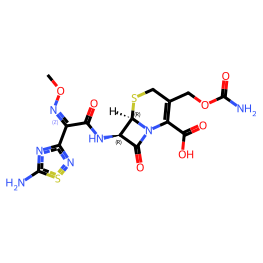 CO/N=C(\C(=O)N[C@@H]1C(=O)N2C(C(=O)O)=C(COC(N)=O)CS[C@H]12)c1nsc(N)n1